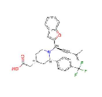 C=C(C)C#C[C@H](c1cc2ccccc2o1)N1CC[C@@H](CC(=O)O)C[C@H]1c1ccc(C(F)(F)F)cc1